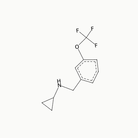 FC(F)(F)Oc1cccc(CNC2CC2)c1